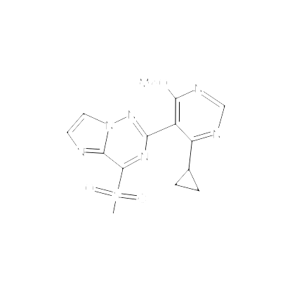 COc1ncnc(C2CC2)c1-c1nc(S(C)(=O)=O)c2nccn2n1